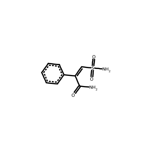 NC(=O)C(=CS(N)(=O)=O)c1ccccc1